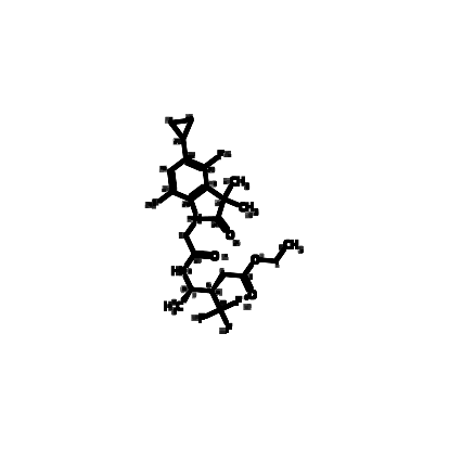 CCOC(=O)C[C@H]([C@@H](C)NC(=O)CN1C(=O)C(C)(C)c2c(F)c(C3CC3)cc(F)c21)C(F)(F)F